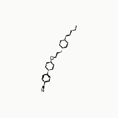 CCCCC[C@H]1CC[C@H](CCCO[C@H]2CC[C@H](c3ccc(C#N)cc3)CC2)CC1